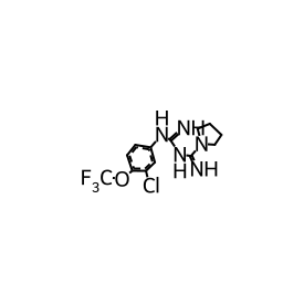 N=C(NC(=N)N1CCCC1)Nc1ccc(OC(F)(F)F)c(Cl)c1